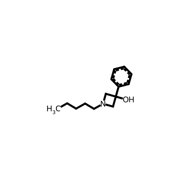 CCCCCN1CC(O)(c2ccccc2)C1